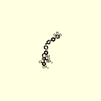 Cc1ccc(-c2nn3c(c2C(N)=O)Nc2ccc(N4CCN(CC5CCN(c6ccc(N7CCC(=O)NC7=O)cc6)CC5)CC4)cc2CC3)c(Cl)c1